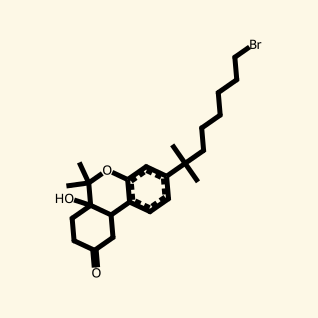 CC(C)(CCCCCCBr)c1ccc2c(c1)OC(C)(C)C1(O)CCC(=O)CC21